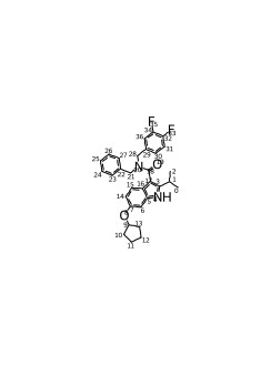 CC(C)c1[nH]c2cc(OC3CCCC3)ccc2c1C(=O)N(Cc1ccccc1)Cc1ccc(F)c(F)c1